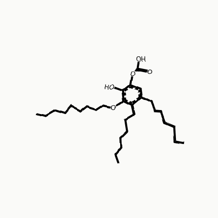 CCCCCCCCCOc1c(O)c(OC(=O)O)cc(CCCCCCC)c1CCCCCCC